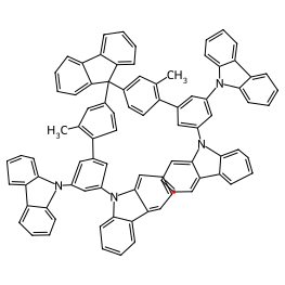 Cc1cc(C2(c3ccc(-c4cc(-n5c6ccccc6c6ccccc65)cc(-n5c6ccccc6c6ccccc65)c4)c(C)c3)c3ccccc3-c3ccccc32)ccc1-c1cc(-n2c3ccccc3c3ccccc32)cc(-n2c3ccccc3c3ccccc32)c1